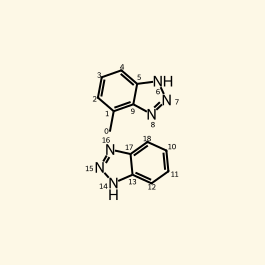 Cc1cccc2[nH]nnc12.c1ccc2[nH]nnc2c1